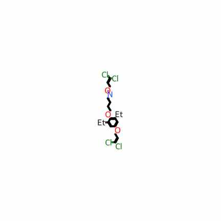 CCc1cc(OCC=C(Cl)Cl)cc(CC)c1OCCCC=NOCC=C(Cl)Cl